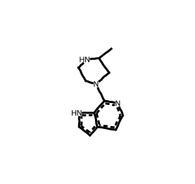 CC1CN(c2nccc3cc[nH]c23)CCN1